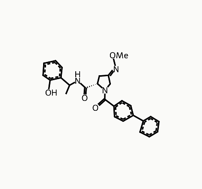 CO/N=C1\C[C@@H](C(=O)NC(C)c2ccccc2O)N(C(=O)c2ccc(-c3ccccc3)cc2)C1